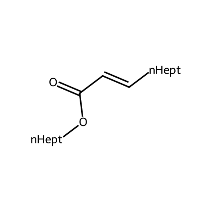 CCCCCCCC=CC(=O)OCCCCCCC